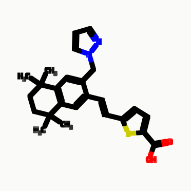 CC1(C)CCC(C)(C)c2cc(Cn3cccn3)c(C=Cc3ccc(C(=O)O)s3)cc21